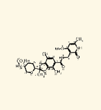 COc1cc(C)[nH]c(=O)c1CNC(=O)c1cc(Cl)c2c(c1C)OC(C)([C@@H]1CC[C@@H](NC(=O)O)CO1)O2